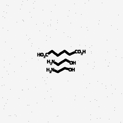 NCCO.NCCO.O=C(O)CCCCC(=O)O